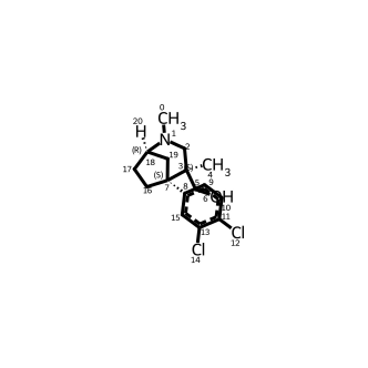 CN1C[C@@](C)(CO)[C@@]2(c3ccc(Cl)c(Cl)c3)CC[C@@H]1C2